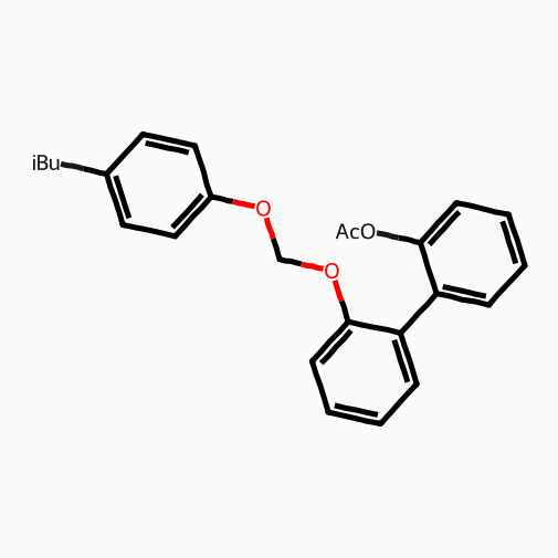 CCC(C)c1ccc(OCOc2ccccc2-c2ccccc2OC(C)=O)cc1